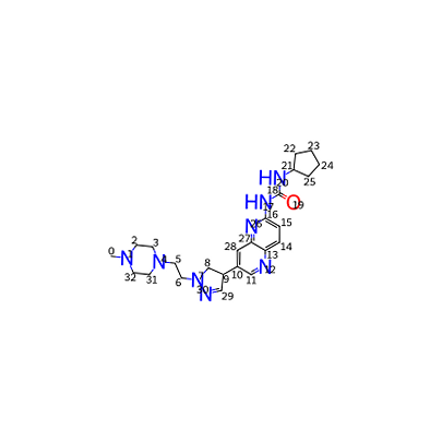 CN1CCN(CCN2CC(c3cnc4ccc(NC(=O)NC5CCCC5)nc4c3)C=N2)CC1